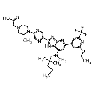 CCOc1cc(-c2cc(N(C)CC(C)(C)COC)c3[nH]c(-c4cnc(N5CCN(CC(=O)O)C[C@H]5C)cn4)nc3n2)cc(C(F)(F)F)n1